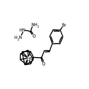 NNC(N)=O.O=C(C=Cc1ccc(Br)cc1)[C]12[CH]3[CH]4[CH]5[CH]1[Fe]45321678[CH]2[CH]1[CH]6[CH]7[CH]28